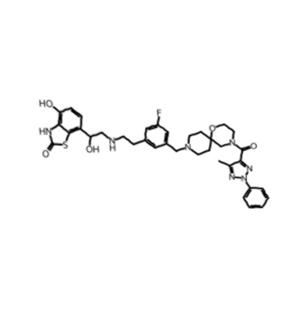 Cc1nn(-c2ccccc2)nc1C(=O)N1CCOC2(CCN(Cc3cc(F)cc(CCNCC(O)c4ccc(O)c5[nH]c(=O)sc45)c3)CC2)C1